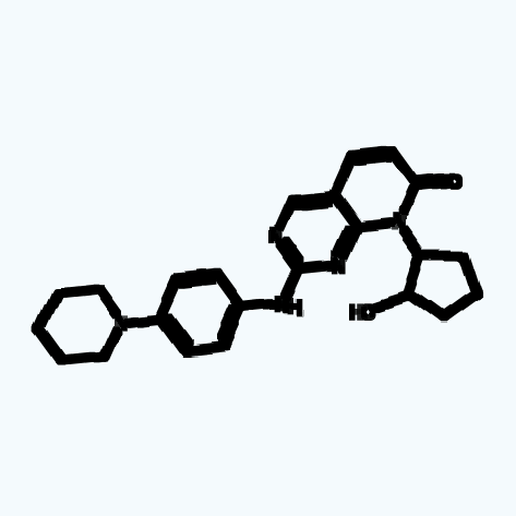 O=c1ccc2cnc(Nc3ccc(N4CCCCC4)cc3)nc2n1C1CCCC1O